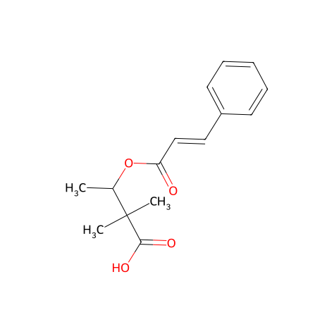 CC(OC(=O)C=Cc1ccccc1)C(C)(C)C(=O)O